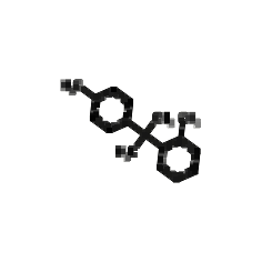 Cc1ccc(C(C)(C)c2ccccc2C)cc1